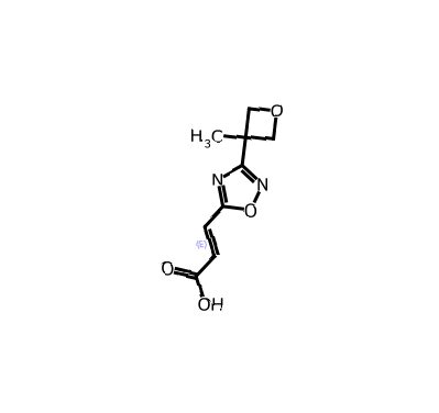 CC1(c2noc(/C=C/C(=O)O)n2)COC1